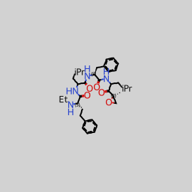 CCN[C@@H](CCc1ccccc1)C(=O)NC(CC(C)C)C(=O)N[C@@H](Cc1ccccc1)C(=O)NC(CC(C)C)C(=O)[C@@]1(C)CO1